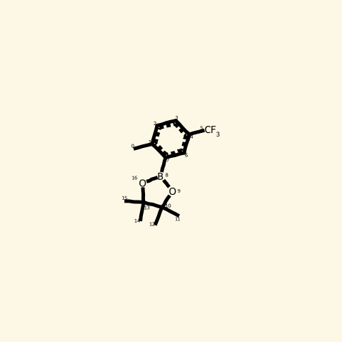 Cc1ccc(C(F)(F)F)cc1B1OC(C)(C)C(C)(C)O1